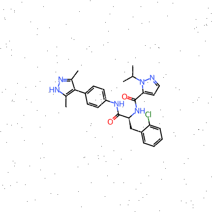 Cc1n[nH]c(C)c1-c1ccc(NC(=O)[C@H](Cc2ccccc2Cl)NC(=O)c2ccnn2C(C)C)cc1